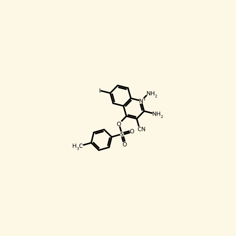 Cc1ccc(S(=O)(=O)Oc2c(C#N)c(N)[n+](N)c3ccc(I)cc23)cc1